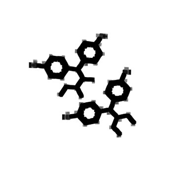 CCC(C)C(C)C(c1ccc(O)cc1)c1ccc(O)cc1.CCC(CC)C(c1ccc(O)cc1)c1ccc(O)cc1